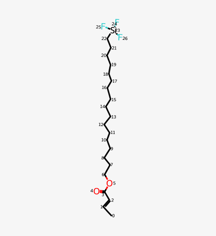 CC=CC(=O)OCCCCCCCCCCCCCCCCC[Si](F)(F)F